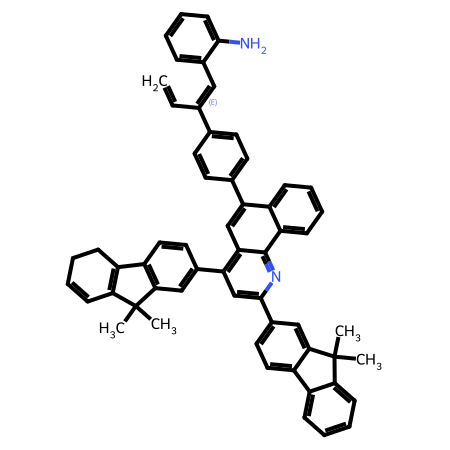 C=C/C(=C\c1ccccc1N)c1ccc(-c2cc3c(-c4ccc5c(c4)C(C)(C)C4=C5CCC=C4)cc(-c4ccc5c(c4)C(C)(C)c4ccccc4-5)nc3c3ccccc23)cc1